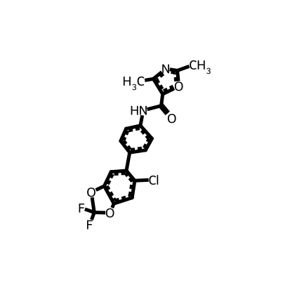 Cc1nc(C)c(C(=O)Nc2ccc(-c3cc4c(cc3Cl)OC(F)(F)O4)cc2)o1